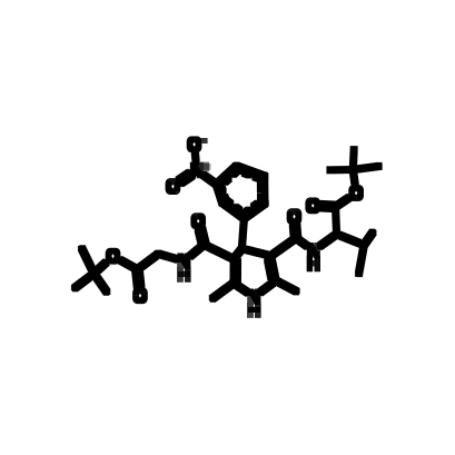 CC1=C(C(=O)NCC(=O)OC(C)(C)C)C(c2cccc([N+](=O)[O-])c2)C(C(=O)NC(C(=O)OC(C)(C)C)C(C)C)=C(C)N1